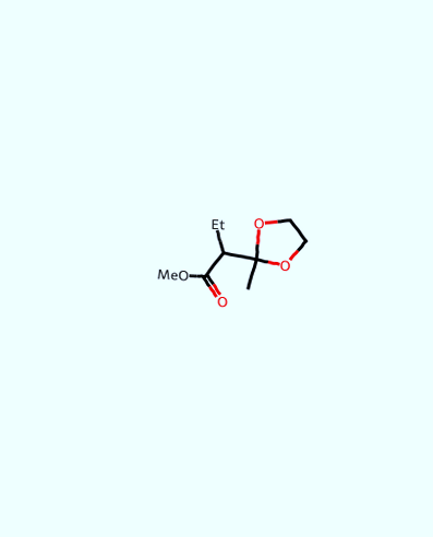 CCC(C(=O)OC)C1(C)OCCO1